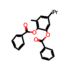 Cc1cc(C(C)C)cc(OC(=O)c2ccccc2)c1OC(=O)c1ccccc1